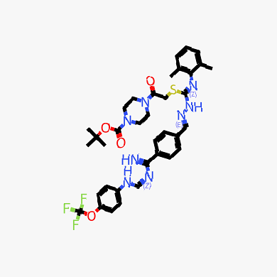 Cc1cccc(C)c1/N=C(/N/N=C/c1ccc(C(=N)/N=C\Nc2ccc(OC(F)(F)F)cc2)cc1)SCC(=O)N1CCN(C(=O)OC(C)(C)C)CC1